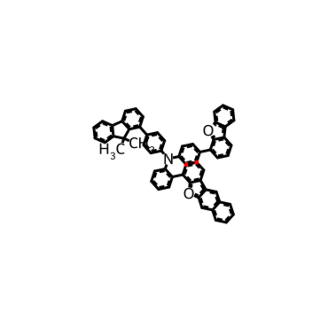 CC1(C)c2ccccc2-c2cccc(-c3ccc(N(c4ccc(-c5cccc6c5oc5ccccc56)cc4)c4ccccc4-c4cccc5c4oc4cc6ccccc6cc45)cc3)c21